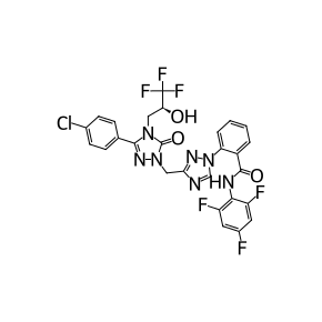 O=C(Nc1c(F)cc(F)cc1F)c1ccccc1-n1cnc(Cn2nc(-c3ccc(Cl)cc3)n(C[C@H](O)C(F)(F)F)c2=O)n1